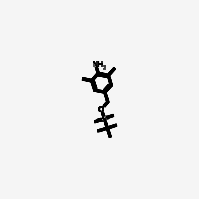 Cc1cc(CO[Si](C)(C)C(C)(C)C)cc(C)c1N